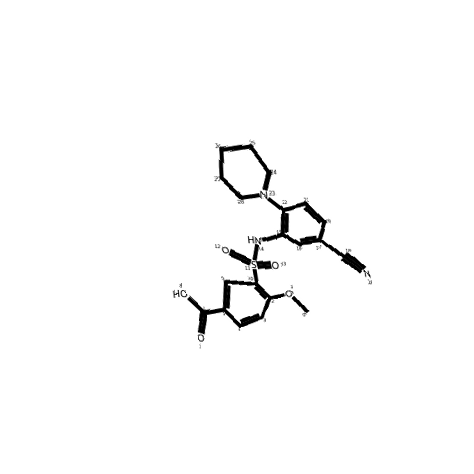 COc1ccc(C(=O)O)cc1S(=O)(=O)Nc1cc(C#N)ccc1N1CCCCC1